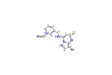 CO[n+]1cccc(CNc2cc(Cl)nc3c(Br)cnn23)c1